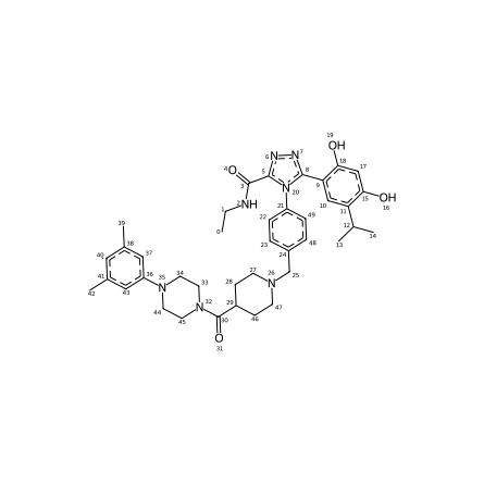 CCNC(=O)c1nnc(-c2cc(C(C)C)c(O)cc2O)n1-c1ccc(CN2CCC(C(=O)N3CCN(c4cc(C)[c]c(C)c4)CC3)CC2)cc1